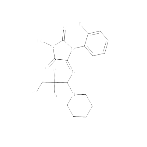 CN1C(=O)C(=NC(N2CCCCC2)C(Br)(Br)CCl)N(c2ccccc2F)C1=O